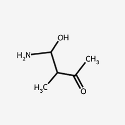 CC(=O)C(C)C(N)O